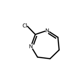 ClC1=NCCCC=N1